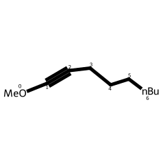 [CH2]OC#CCCCCCCC